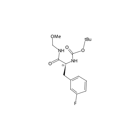 COCNC(=O)[C@H](Cc1cccc(F)c1)NC(=O)OC(C)(C)C